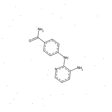 NC(=O)c1ccc(Nc2ncccc2N)cc1